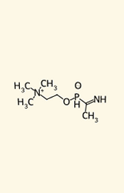 CC(=N)[PH](=O)OCC[N+](C)(C)C